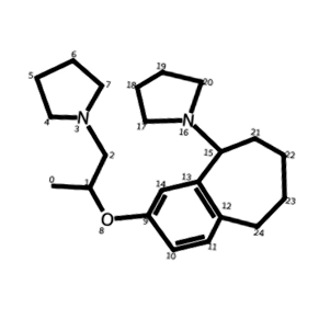 CC(CN1CCCC1)Oc1ccc2c(c1)C(N1CCCC1)CCCC2